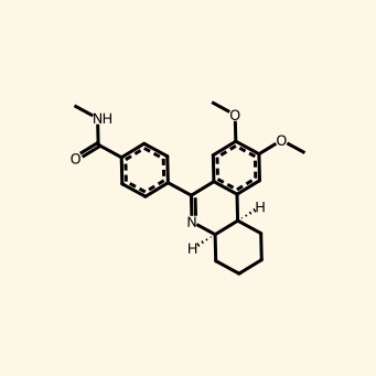 CNC(=O)c1ccc(C2=N[C@@H]3CCCC[C@@H]3c3cc(OC)c(OC)cc32)cc1